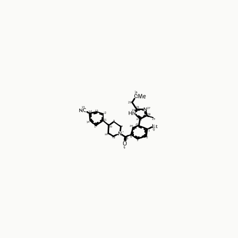 CCc1ccc(C(=O)N2CCC(c3ccc(C#N)cc3)CC2)cc1-c1[nH]c(COC)nc1C